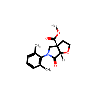 Cc1cccc(C)c1N1C[C@]2(C(=O)OC(C)(C)C)CCO[C@@H]2C1=O